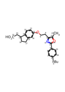 CCCCc1ccc(-c2nc(CCOc3ccc4c(c3)CCC4CC(=O)O)c(C)o2)cc1